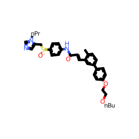 CCCCOCCOc1ccc(-c2ccc(C)c(/C=C/C(=O)Nc3ccc([S@@+]([O-])Cc4cncn4CCC)cc3)c2)cc1